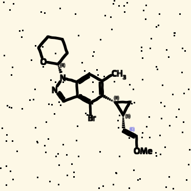 CO/C=C/[C@H]1C[C@H]1c1c(C)cc2c(cnn2[C@H]2CCCCO2)c1Br